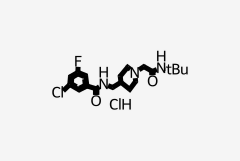 CC(C)(C)NC(=O)CN1CCC(CNC(=O)c2cc(F)cc(Cl)c2)CC1.Cl